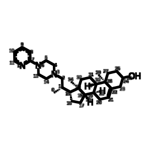 C[C@H](CN1CCN(c2ccccn2)CC1)[C@H]1CC[C@H]2[C@@H]3CC=C4CC(O)CC[C@]4(C)[C@H]3CC[C@]12C